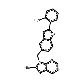 CCCCc1nc2cccnc2n1Cc1ccc2oc(-c3ccccc3N)cc2c1